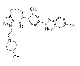 Cc1cc(-c2ncc3cc(C(F)(F)F)ccc3n2)ccc1N1CCOc2cnn(CCN3CCC(O)CC3)c2C1=O